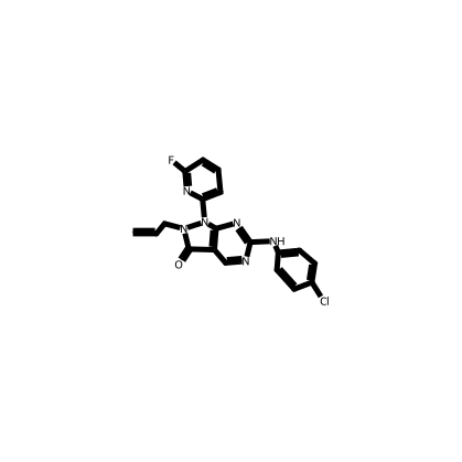 C=CCn1c(=O)c2cnc(Nc3ccc(Cl)cc3)nc2n1-c1cccc(F)n1